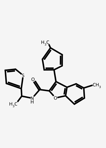 Cc1ccc(-c2c(C(=O)NC(C)c3cccs3)oc3ccc(C)cc23)cc1